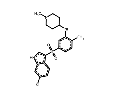 Cc1ccc(S(=O)(=O)c2c[nH]c3cc(Cl)ccc23)cc1NC1CCN(C)CC1